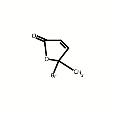 CC1(Br)C=CC(=O)O1